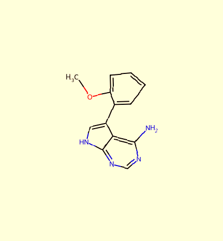 COc1ccccc1-c1c[nH]c2ncnc(N)c12